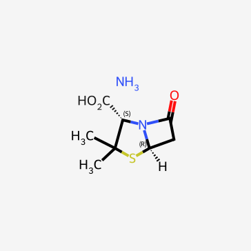 CC1(C)S[C@@H]2CC(=O)N2[C@H]1C(=O)O.N